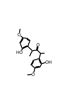 COc1ccc(C(C)C(=O)C(C)c2ccc(OC)cc2O)c(O)c1